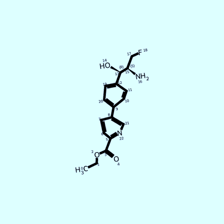 CCOC(=O)c1ccc(-c2ccc([C@@H](O)[C@H](N)CF)cc2)cn1